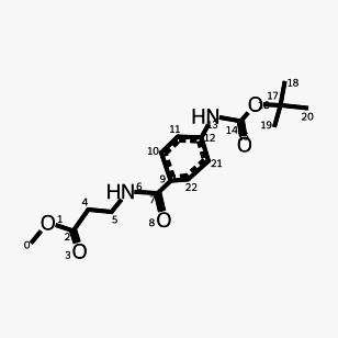 COC(=O)CCNC(=O)c1ccc(NC(=O)OC(C)(C)C)cc1